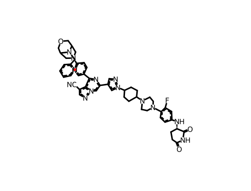 N#Cc1cnn2cc(-c3cnn(C4CCC(N5CCN(c6ccc(N[C@@H]7CCC(=O)NC7=O)cc6F)CC5)CC4)c3)nc(-c3ccc(N4CC5COCC(C4)N5Cc4ccccn4)nc3)c12